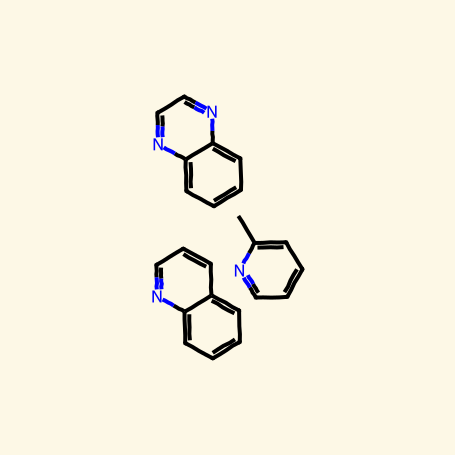 Cc1ccccn1.c1ccc2ncccc2c1.c1ccc2nccnc2c1